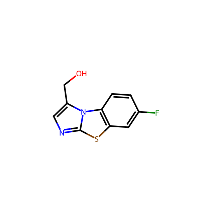 OCc1cnc2sc3cc(F)ccc3n12